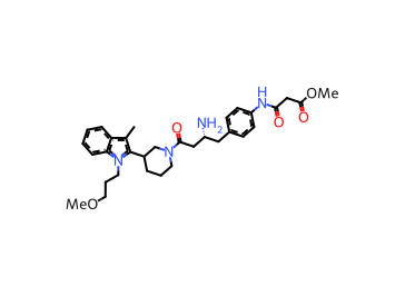 COCCCn1c(C2CCCN(C(=O)C[C@H](N)Cc3ccc(NC(=O)CC(=O)OC)cc3)C2)c(C)c2ccccc21